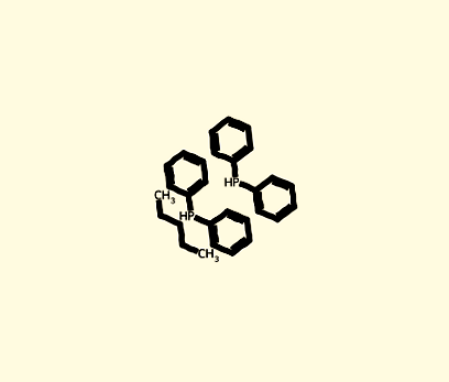 CCCCC.c1ccc(Pc2ccccc2)cc1.c1ccc(Pc2ccccc2)cc1